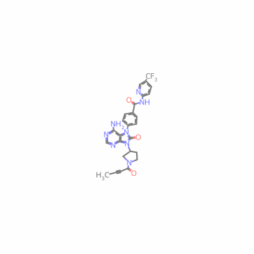 CC#CC(=O)N1CCC(n2c(=O)n(-c3ccc(C(=O)Nc4ccc(C(F)(F)F)cn4)cc3)c3c(N)ncnc32)C1